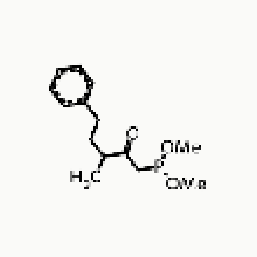 COP(CC(=O)C(C)CCc1ccccc1)OC